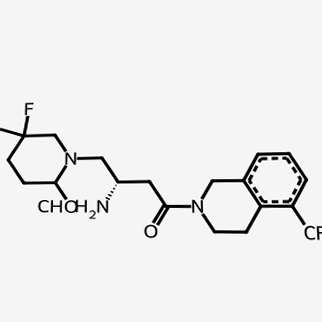 N[C@@H](CC(=O)N1CCc2c(cccc2C(F)(F)F)C1)CN1CC(F)(F)CCC1C=O